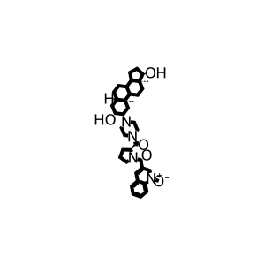 C[C@]12CCC3C(CC[C@H]4C[C@H](O)[C@@H](N5CCN(C(=O)[C@@H]6CCCN6C(=O)c6cc7ccccc7[n+]([O-])c6)CC5)C[C@]34C)C1CC[C@@H]2O